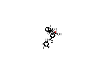 O=C(Nc1cc(F)c(F)c(F)c1)c1ccc(Cl)c(S(=O)(=O)[C@H]2C3CC[C@H]2C[C@](O)(CCCO)C3)c1